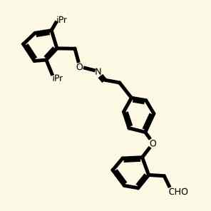 CC(C)c1cccc(C(C)C)c1CON=CCc1ccc(Oc2ccccc2CC=O)cc1